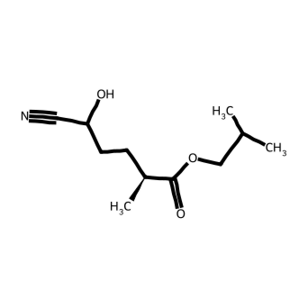 CC(C)COC(=O)[C@@H](C)CCC(O)C#N